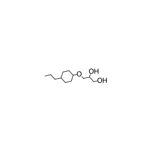 CCCC1CCC(OCC(O)CO)CC1